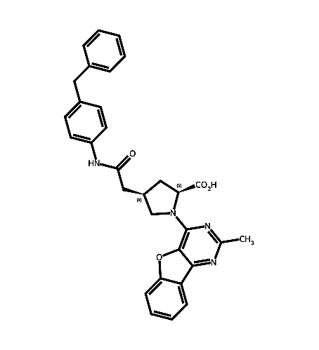 Cc1nc(N2C[C@@H](CC(=O)Nc3ccc(Cc4ccccc4)cc3)C[C@H]2C(=O)O)c2oc3ccccc3c2n1